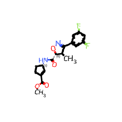 COC(=O)C1=C[C@@H](NC(=O)[C@@H]2ON=C(c3cc(F)cc(F)c3)C2C)CC1